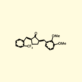 COc1cccc(/C=C2\CC/C(=C\c3ccccc3C(F)(F)F)C2=O)c1OC